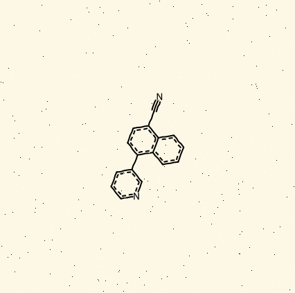 N#Cc1ccc(-c2cccnc2)c2ccccc12